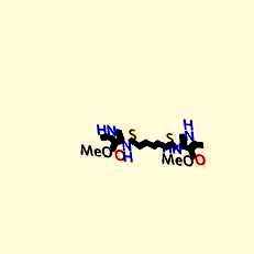 COC(=O)c1c(NC(=S)CCCCCC(=S)Nc2c[nH]c(C)c2C(=O)OC)c[nH]c1C